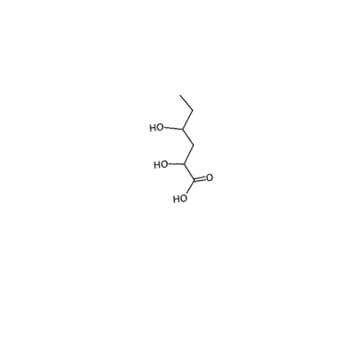 CCC(O)CC(O)C(=O)O